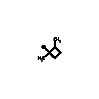 CC1CCC1(C)[O]